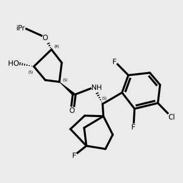 CC(C)O[C@@H]1C[C@@H](C(=O)N[C@H](c2c(F)ccc(Cl)c2F)C23CCC(F)(CC2)C3)C[C@@H]1O